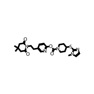 Cn1ccnc1SC1CCN(C(=O)Oc2ccc(CCN3C(=O)CC(C)(C)CC3=O)cn2)CC1